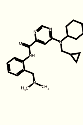 CN(C)Cc1ccccc1NC(=O)c1cc(N(CC2CC2)C2CCCCC2)ncn1